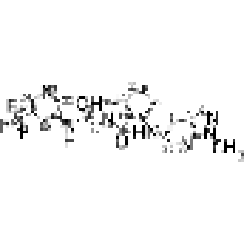 Cn1ncc2cc(Nc3cccc4c3C(=O)N(CC(O)Nc3cncc(C(F)(F)F)c3)C4)cnc21